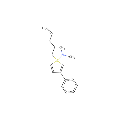 C=CCCCS1(N(C)C)C=CC(c2ccccc2)=C1